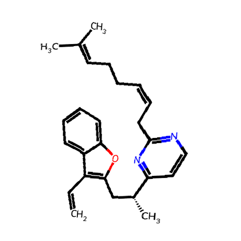 C=Cc1c(C[C@@H](C)c2ccnc(C/C=C\CCC=C(C)C)n2)oc2ccccc12